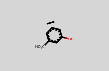 CC.O=C(O)c1cccc(O)c1